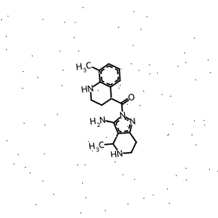 Cc1cccc2c1NCCC2C(=O)n1nc2c(c1N)C(C)NCC2